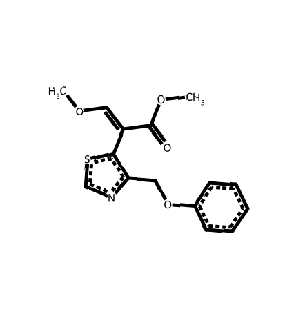 CO/C=C(/C(=O)OC)c1scnc1COc1ccccc1